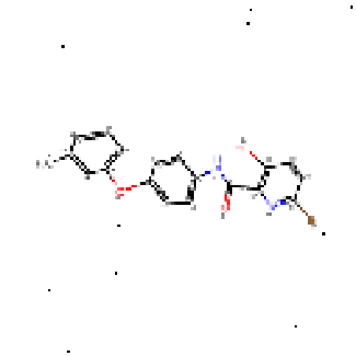 O=C(Nc1ccc(Oc2cccc(C(F)(F)F)c2)cc1)c1nc(Br)ccc1O